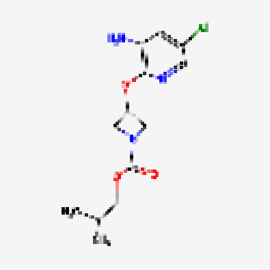 CC(C)COC(=O)N1CC(Oc2ncc(Cl)cc2N)C1